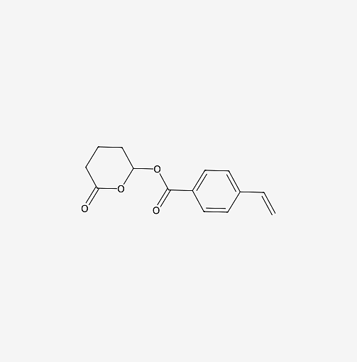 C=Cc1ccc(C(=O)OC2CCCC(=O)O2)cc1